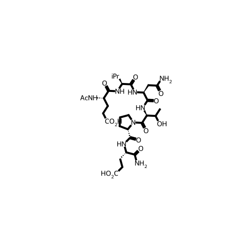 CC(=O)N[C@@H](CCC(=O)O)C(=O)N[C@H](C(=O)N[C@@H](CC(N)=O)C(=O)N[C@H](C(=O)N1CCC[C@H]1C(=O)N[C@@H](CCC(=O)O)C(N)=O)C(C)O)C(C)C